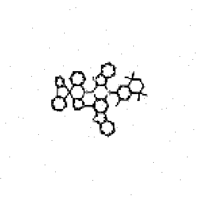 Cc1cc2c(cc1N1c3cc4c(sc5ccccc54)c4c3B(c3oc5ccccc5c31)N1c3ccccc3C3(c5ccccc5-c5ccccc53)c3cccc-4c31)C(C)(C)CCC2(C)C